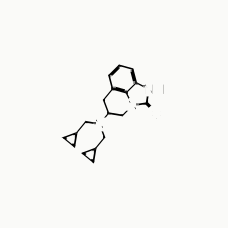 O=c1[nH]c2cccc3c2n1CC(N(CC1CC1)CC1CC1)C3